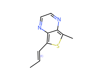 C/C=C/c1sc(C)c2nccnc12